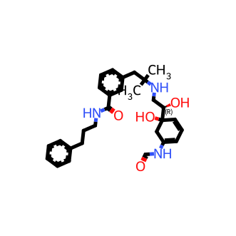 CC(C)(Cc1cccc(C(=O)NCCCc2ccccc2)c1)NC[C@@H](O)C1(O)C=CC=C(NC=O)C1